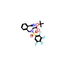 CC(C)(C)OC(=O)CN(Cc1ccccc1C#N)S(=O)(=O)c1cc(F)c(F)c(F)c1F